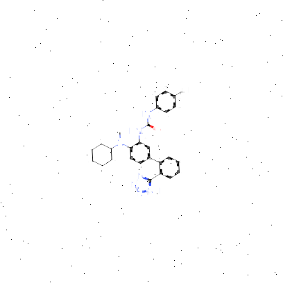 CN(c1ccc(-c2ccccc2-c2nnn[nH]2)cc1NC(=O)Nc1ccc(C(F)(F)F)cc1)C1CCCCC1